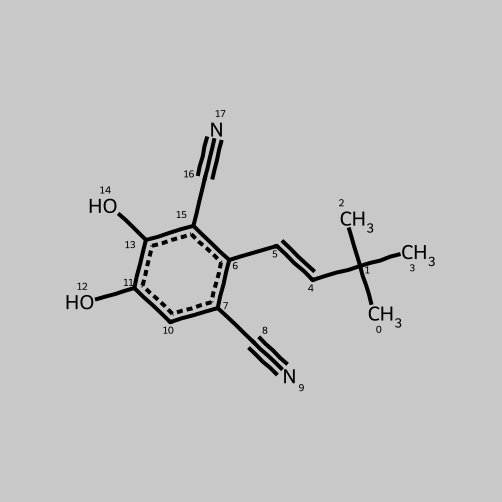 CC(C)(C)/C=C/c1c(C#N)cc(O)c(O)c1C#N